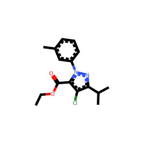 CCOC(=O)c1c(Cl)c(C(C)C)nn1-c1cccc(C)c1